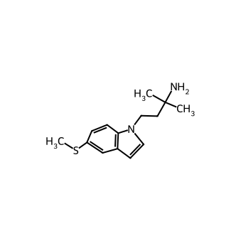 CSc1ccc2c(ccn2CCC(C)(C)N)c1